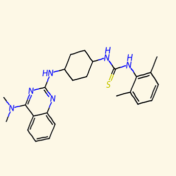 Cc1cccc(C)c1NC(=S)NC1CCC(Nc2nc(N(C)C)c3ccccc3n2)CC1